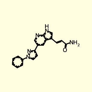 NC(=O)/C=C/c1c[nH]c2ncc(-c3ccn(-c4ccccc4)n3)cc12